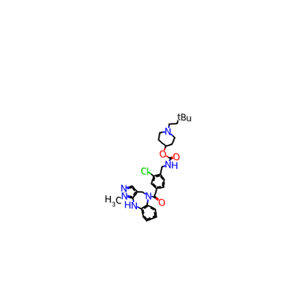 Cn1ncc2c1Nc1ccccc1N(C(=O)c1ccc(CNC(=O)OC3CCN(CCC(C)(C)C)CC3)c(Cl)c1)C2